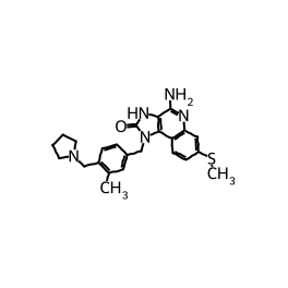 CSc1ccc2c(c1)nc(N)c1[nH]c(=O)n(Cc3ccc(CN4CCCC4)c(C)c3)c12